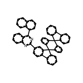 c1ccc2c(c1)-c1ccccc1C21c2ccccc2C2(c3ccccc3-c3ccc(-c4nc(-c5cccc6ccccc56)c5ccccc5n4)cc32)c2ccccc21